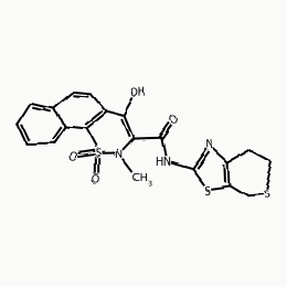 CN1C(C(=O)Nc2nc3c(s2)CSCC3)=C(O)c2ccc3ccccc3c2S1(=O)=O